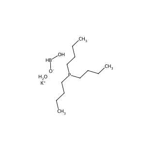 CCCCP(CCCC)CCCC.O.[K+].[O-]BO